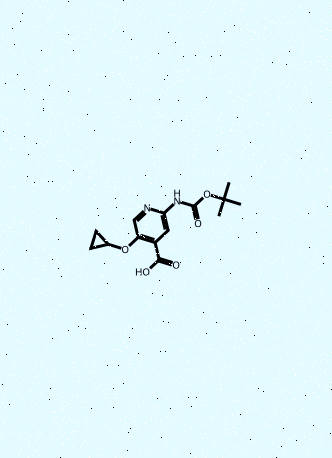 CC(C)(C)OC(=O)Nc1cc(C(=O)O)c(OC2CC2)cn1